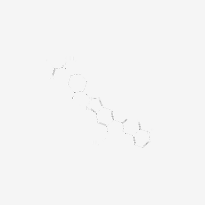 COc1cc2nn([C@@H]3CC[C@@H](N(C)C(C)=O)C[C@@H]3C)cc2cc1C(=O)Nc1cccn(C)c1=O